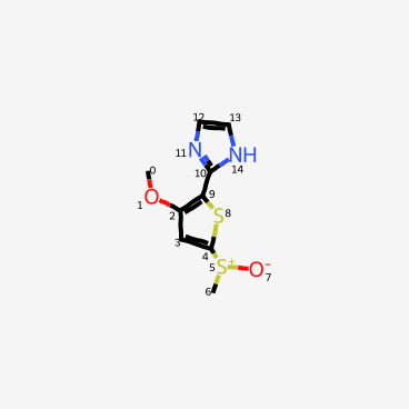 COc1cc([S+](C)[O-])sc1-c1ncc[nH]1